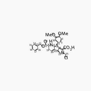 COc1ccc(S2=C3NC(C(=O)OCc4ccccc4)CC=C3c3cn(CCl)c(C(=O)O)c32)cc1OC